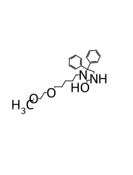 COCCOCCCCCN1C(O)NCC1(c1ccccc1)c1ccccc1